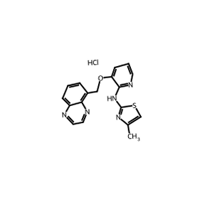 Cc1csc(Nc2ncccc2OCc2cccc3nccnc23)n1.Cl